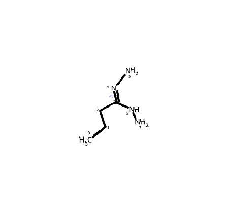 CCC/C(=N/N)NN